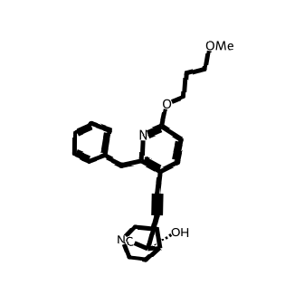 COCCCOc1ccc(C#C[C@]2(O)CN3CCC2CC3)c(Cc2ccccc2)n1